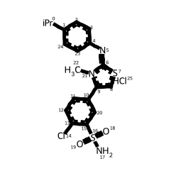 CC(C)c1ccc(N=c2scc(-c3ccc(Cl)c(S(N)(=O)=O)c3)n2C)cc1.Cl